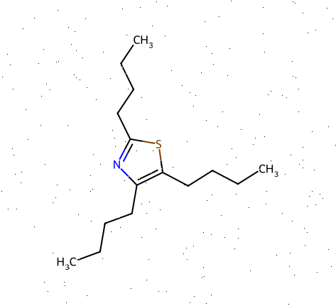 CCCCc1nc(CCCC)c(CCCC)s1